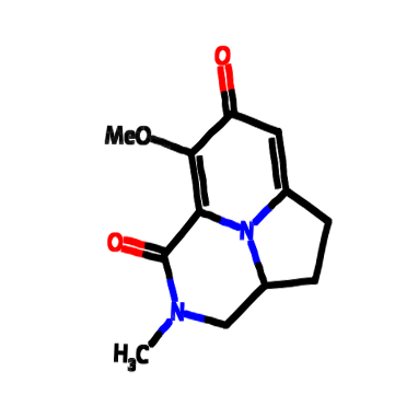 COc1c2n3c(cc1=O)CCC3CN(C)C2=O